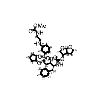 COC(=O)NCCNc1cccc(S(=O)(=O)N(C[C@@H](O)[C@H](Cc2ccccc2)NC(=O)OC2COC3OCCC23)OC2CCCC2)c1